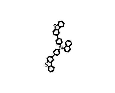 c1ccc2c(N(c3ccc(-c4ccc5sc6ccccc6c5c4)cc3)c3ccc(-c4ccc5sc6ccccc6c5c4)cc3)cccc2c1